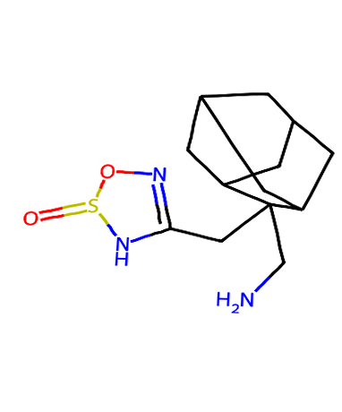 NCC1(CC2=NOS(=O)N2)C2CC3CC(C2)CC1C3